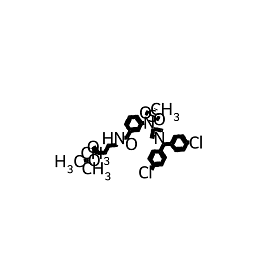 CC(C)(C)OC(=O)CCCNC(=O)c1cccc(N(C2CN(C(c3ccc(Cl)cc3)c3ccc(Cl)cc3)C2)S(C)(=O)=O)c1